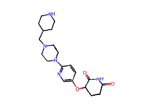 O=C1CCC(Oc2ccc(N3CCN(CC4CCNCC4)CC3)nc2)C(=O)N1